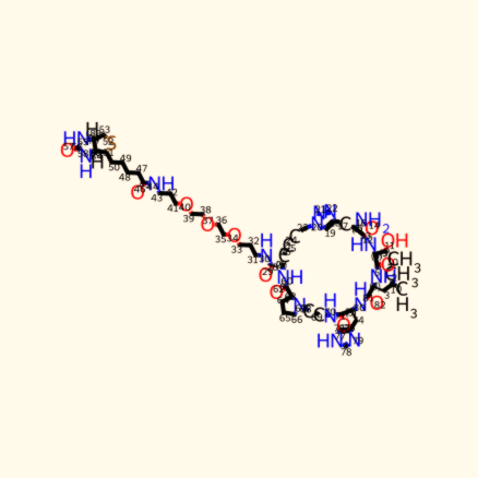 CC(C)C[C@@H]1NC(=O)[C@H]([C@H](C)O)NC(=O)[C@@H](N)Cc2cn(nn2)CCCC[C@@H](C(=O)NCCCOCCOCCOCCCNC(=O)CCCCC2SC[C@H]3NC(=O)N[C@@H]23)NC(=O)C2CCCN2CCNC(=O)[C@H](Cc2c[nH]cn2)NC1=O